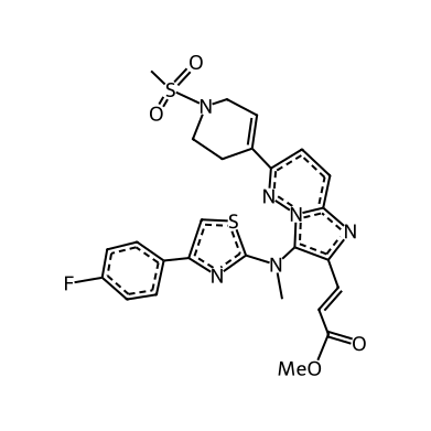 COC(=O)/C=C/c1nc2ccc(C3=CCN(S(C)(=O)=O)CC3)nn2c1N(C)c1nc(-c2ccc(F)cc2)cs1